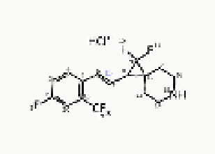 Cl.Fc1ccc(/C=C/C2C(F)(F)C23CCNCC3)c(C(F)(F)F)c1